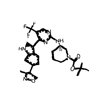 Cc1nocc1-c1ccc2c(-c3nc(N[C@H]4CCCN(C(=O)OC(C)(C)C)C4)ncc3C(F)(F)F)c[nH]c2c1